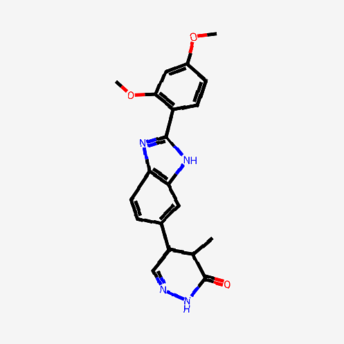 COc1ccc(-c2nc3ccc(C4C=NNC(=O)C4C)cc3[nH]2)c(OC)c1